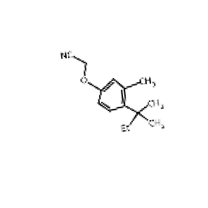 CCC(C)(C)c1ccc(OCC#N)cc1C